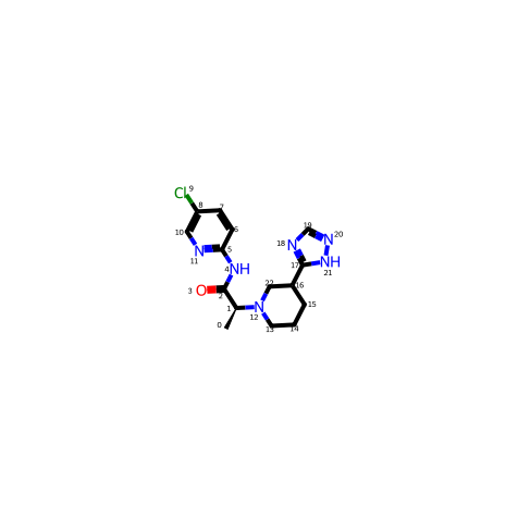 C[C@@H](C(=O)Nc1ccc(Cl)cn1)N1CCCC(c2ncn[nH]2)C1